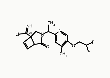 Cc1cc(C(C)N2C[C@@]3(C(=N)Cl)C=CC3C2=O)ncc1OCC(F)F